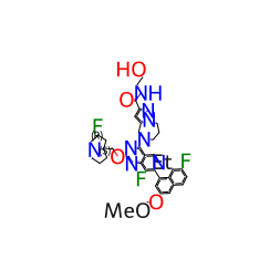 CCc1c(F)ccc2cc(OCOC)cc(-c3ncc4c(N5CCCn6nc(C(=O)NCCO)cc6C5)nc(OC[C@@]56CCCN5C[C@H](F)C6)nc4c3F)c12